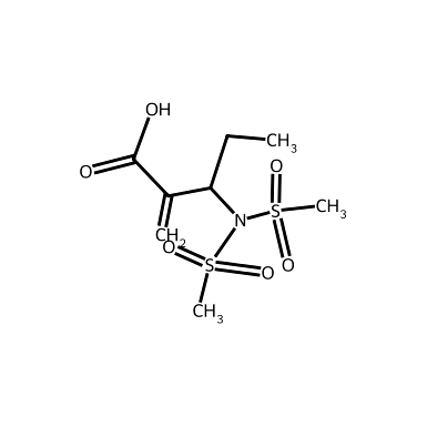 C=C(C(=O)O)C(CC)N(S(C)(=O)=O)S(C)(=O)=O